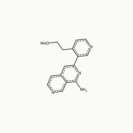 COCCc1ccncc1-c1cc2ccncc2c(N)n1